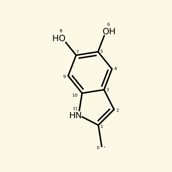 [CH2]c1cc2cc(O)c(O)cc2[nH]1